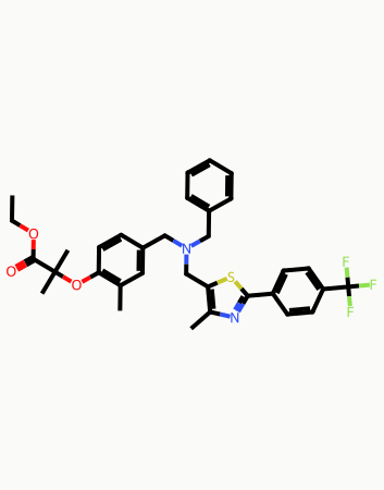 CCOC(=O)C(C)(C)Oc1ccc(CN(Cc2ccccc2)Cc2sc(-c3ccc(C(F)(F)F)cc3)nc2C)cc1C